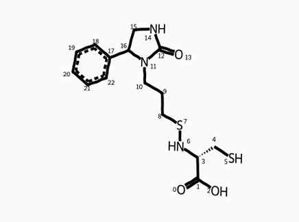 O=C(O)[C@@H](CS)NSCCCN1C(=O)NCC1c1ccccc1